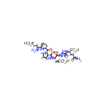 CC(C)C[C@H](NC(=O)[C@@H](N)CCC(=O)O)C(=O)N1CCC[C@H]1C(=O)N[C@@H](CC(=O)O)C(=O)NCC(=O)N[C@@H](CCC(N)=O)C(=O)O